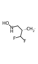 [CH2][C@@H](CNO)C(F)F